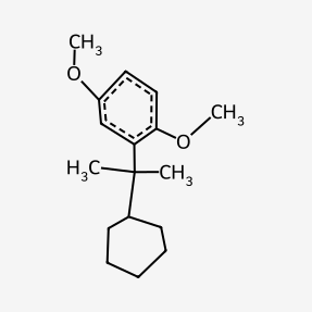 COc1ccc(OC)c(C(C)(C)C2CCCCC2)c1